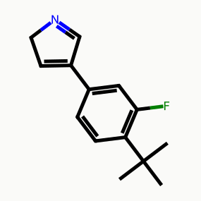 CC(C)(C)c1ccc(C2=CCN=C2)cc1F